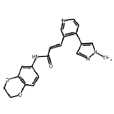 Cn1cc(-c2ccncc2C=CC(=O)Nc2ccc3c(c2)OCCO3)cn1